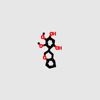 COc1c(O)cc(O)c(C2COc3ccccc3C2)c1OC